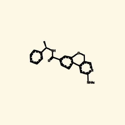 CC(=O)Nc1cc2c(cn1)COc1cc(C(=O)N[C@H](C)c3ccccc3)ccc1-2